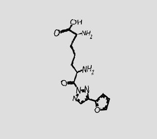 NC(CCC[C@H](N)C(=O)O)C(=O)n1ncc(-c2ccco2)n1